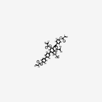 C=CC(=O)Oc1ccc(C#Cc2c(OC(=O)C(=C)C)cc(-c3ccc(-c4ccc(OC(=O)C=C)cc4)cc3)c(CCCF)c2OC(=O)C(=C)C)cc1